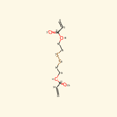 C=CC(=O)OCCSSCCOC(=O)C=C